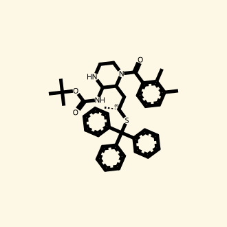 Cc1cccc(C(=O)N2CCNC(NC(=O)OC(C)(C)C)C2C[C@@H](C)SC(c2ccccc2)(c2ccccc2)c2ccccc2)c1C